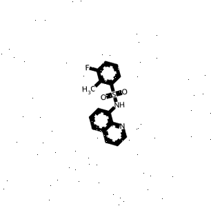 Cc1c(F)cccc1S(=O)(=O)Nc1cccc2cccnc12